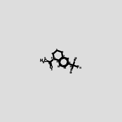 CC(=O)N1CCCc2cc(C(F)(F)F)ccc21